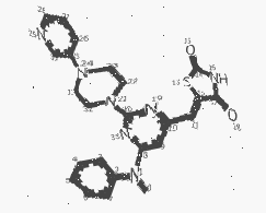 CN(c1ccccc1)c1cc(/C=C2\SC(=O)NC2=O)nc(N2CCN(c3cccnc3)CC2)n1